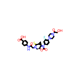 O=C(CN(C[C@H]1CN(c2ccc(N3CCN(C(=O)CO)CC3)c(F)c2)C(=O)O1)C(=S)C1CC1)Nc1ccc(C(=O)O)cc1